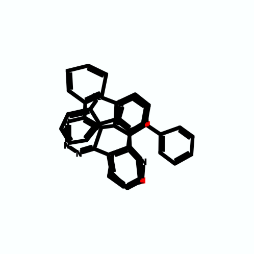 c1ccc(-c2cccnc2-c2c(-c3ccccc3)nnnc2-c2cccnc2-c2c(-c3ccccc3)ccc3[se]c4ccccc4c23)cc1